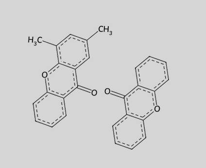 Cc1cc(C)c2oc3ccccc3c(=O)c2c1.O=c1c2ccccc2oc2ccccc12